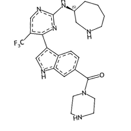 O=C(c1ccc2c(-c3nc(N[C@H]4CCCCNC4)ncc3C(F)(F)F)c[nH]c2c1)N1CCNCC1